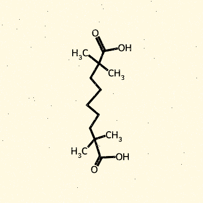 CC(C)(CCCCCC(C)(C)C(=O)O)C(=O)O